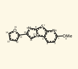 COc1ccc2c(n1)sc1nc(-c3ccco3)cn12